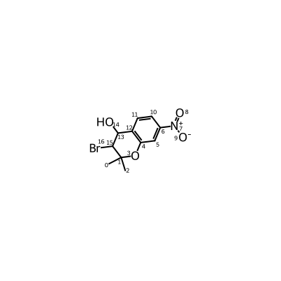 CC1(C)Oc2cc([N+](=O)[O-])ccc2C(O)C1Br